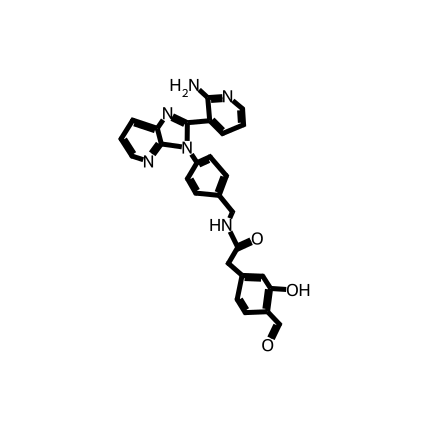 Nc1ncccc1-c1nc2cccnc2n1-c1ccc(CNC(=O)Cc2ccc(C=O)c(O)c2)cc1